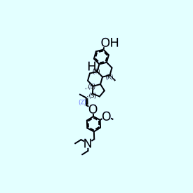 CCN(CC)Cc1ccc(O/C=C(/C)[C@H]2CCC3C4[C@H](C)Cc5cc(O)ccc5[C@H]4CC[C@@]32C)c(OC)c1